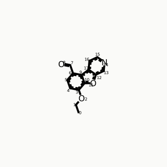 CCOc1ccc(C=O)c2c1oc1cnccc12